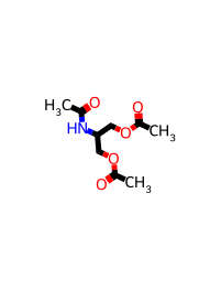 CC(=O)NC(COC(C)=O)COC(C)=O